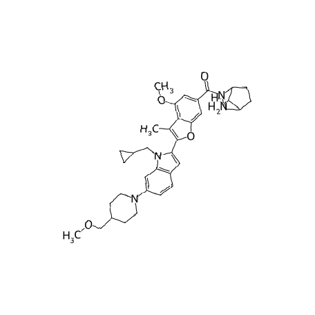 COCC1CCN(c2ccc3cc(-c4oc5cc(C(=O)N6CC7CCC6[C@@H]7N)cc(OC)c5c4C)n(CC4CC4)c3c2)CC1